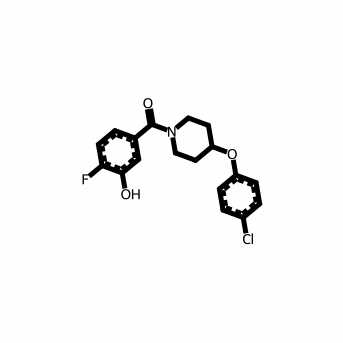 O=C(c1ccc(F)c(O)c1)N1CCC(Oc2ccc(Cl)cc2)CC1